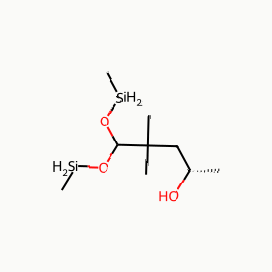 C[SiH2]OC(O[SiH2]C)C(C)(C)C[C@H](C)O